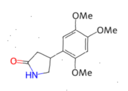 COc1cc(OC)c(C2CNC(=O)C2)cc1OC